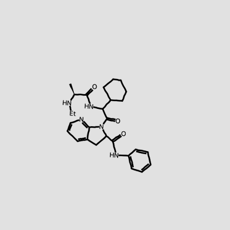 CCN[C@@H](C)C(=O)NC(C(=O)N1c2ncccc2CC1C(=O)Nc1ccccc1)C1CCCCC1